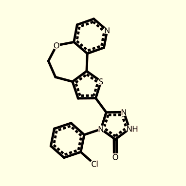 O=c1[nH]nc(-c2cc3c(s2)-c2cnccc2OCC3)n1-c1ccccc1Cl